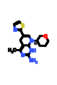 CC1=C2CC(c3nccs3)=CN([C@@H]3CCCOC3)C2NC(N)=N1